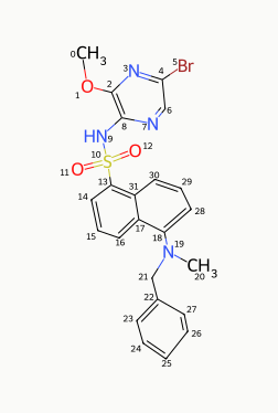 COc1nc(Br)cnc1NS(=O)(=O)c1cccc2c(N(C)Cc3ccccc3)cccc12